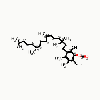 Cc1c(C)c(CCC(C)(C)CCC[C@H](C)CCC[C@H](C)CCCC(C)C)c(C)c(OC=O)c1C